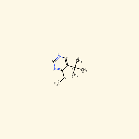 CCc1ncncc1C(C)(C)C